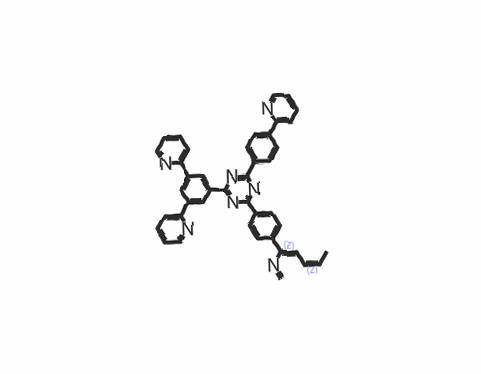 C=N/C(=C\C=C/C)c1ccc(-c2nc(-c3ccc(-c4ccccn4)cc3)nc(-c3cc(-c4ccccn4)cc(-c4ccccn4)c3)n2)cc1